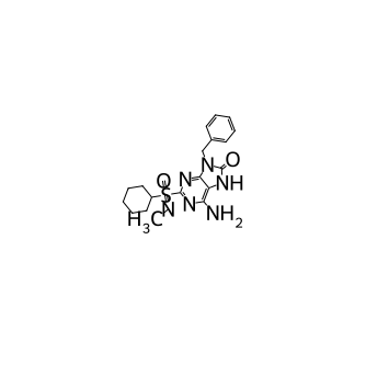 CN=S(=O)(c1nc(N)c2[nH]c(=O)n(Cc3ccccc3)c2n1)C1CCCCC1